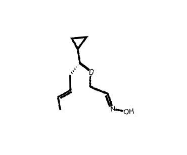 C/C=C/C[C@@H](OCC=NO)C1CC1